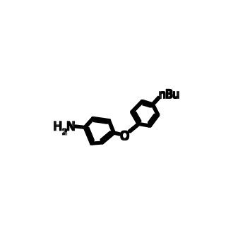 CCCCc1ccc(Oc2ccc(N)cc2)cc1